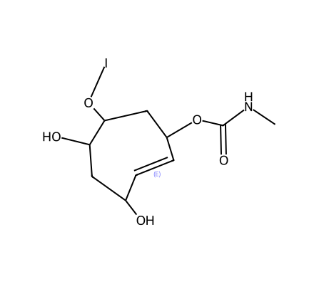 CNC(=O)OC1/C=C/C(O)CC(O)C(OI)C1